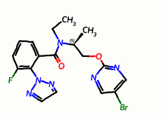 CCN(C(=O)c1cccc(F)c1-n1nccn1)[C@@H](C)COc1ncc(Br)cn1